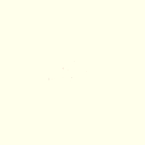 O=[Si](O)O.c1ccccc1